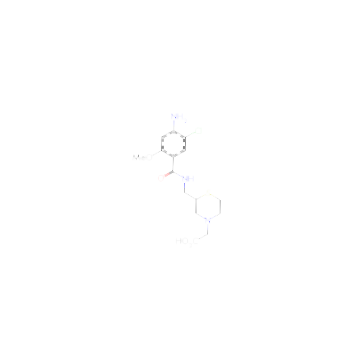 COc1cc(N)c(Cl)cc1C(=O)NCC1CN(CC(=O)O)CCS1